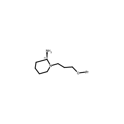 CC(C)OCCCN1CCCC[C@H]1N